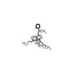 CCCCC(NC)C(=O)N(NC(=O)CCC)NC(=O)CC(C)c1ccccc1